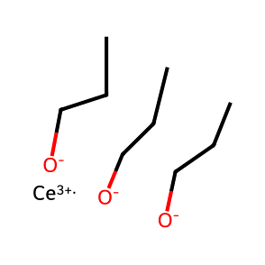 CCC[O-].CCC[O-].CCC[O-].[Ce+3]